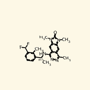 Cc1c(C(F)F)cccc1[C@@H](C)Nc1nnc(C)c2cc3c(cc12)n(C)c(=O)n3C